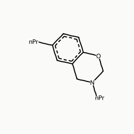 CCCc1ccc2c(c1)CN(CCC)CO2